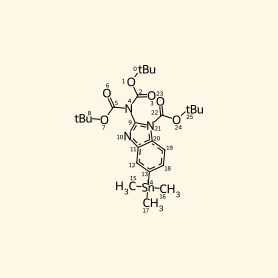 CC(C)(C)OC(=O)N(C(=O)OC(C)(C)C)c1nc2c[c]([Sn]([CH3])([CH3])[CH3])ccc2n1C(=O)OC(C)(C)C